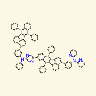 c1ccc(-c2c3c(c(-c4ccccc4)c4ccccc24)-c2ccc(-c4cccc(N(c5ccccc5)c5cnc(-c6ccc7c(-c8ccccc8)c8c(c(-c9ccccc9)c7c6)-c6cccc7c(-c9cccc(N(c%10ccccn%10)c%10ccccn%10)c9)ccc-8c67)cn5)c4)c4cccc-3c24)cc1